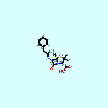 CC1(C)S[C@@H]2[C@H](N=C(Cl)Cc3ccccc3)C(=O)N2[C@H]1C(=O)O